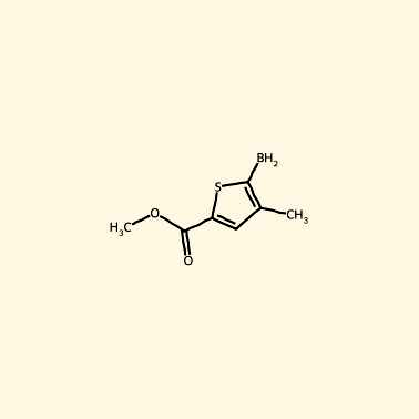 Bc1sc(C(=O)OC)cc1C